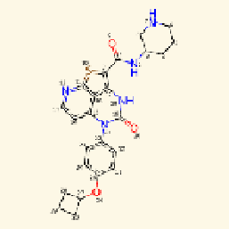 O=C(NC1CCCNC1)c1sc2nccc3c2c1NC(=O)N3c1ccc(OC2CCC2)cc1